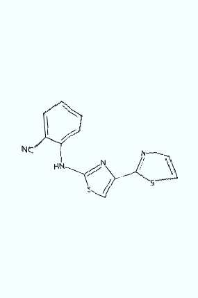 N#Cc1ccccc1Nc1nc(-c2nccs2)cs1